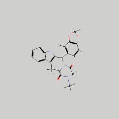 [2H]c1c([2H])c(C2c3[nH]c4ccccc4c3C([2H])([2H])[C@]3([2H])C(=O)N(C([2H])([2H])[2H])C([2H])([2H])C(=O)N23)c([2H])c2c1OC([2H])([2H])O2